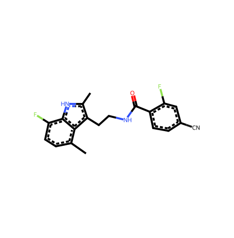 Cc1[nH]c2c(F)ccc(C)c2c1CCNC(=O)c1ccc(C#N)cc1F